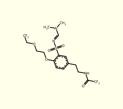 CN(C)/C=N/S(=O)(=O)c1cc(CCNC(=O)C(F)(F)F)ccc1OCCOCC(F)(F)F